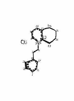 [Cl-].c1ccc(CC[n+]2cccc3c2CCCC3)cc1